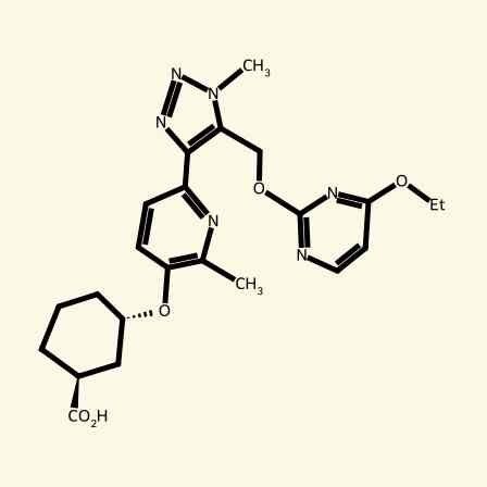 CCOc1ccnc(OCc2c(-c3ccc(O[C@H]4CCC[C@H](C(=O)O)C4)c(C)n3)nnn2C)n1